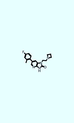 Cc1cc(F)ccc1-c1cnc2[nH]c(=O)n(CCN3CCC3)c2c1